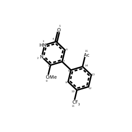 COc1n[nH]c(=O)cc1-c1cc(C(F)(F)F)ccc1C(C)=O